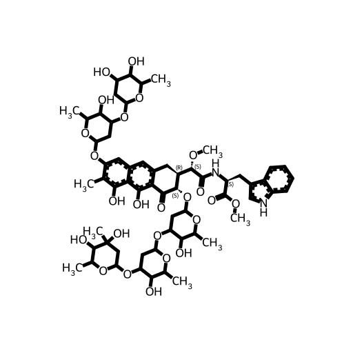 COC(=O)[C@H](Cc1c[nH]c2ccccc12)NC(=O)[C@@H](OC)[C@@H]1Cc2cc3cc(OC4CC(OC5CC(O)C(O)C(C)O5)C(O)C(C)O4)c(C)c(O)c3c(O)c2C(=O)[C@H]1OC1CC(OC2CC(OC3CC(C)(O)C(O)C(C)O3)C(O)C(C)O2)C(O)C(C)O1